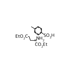 CCOC(=O)CC[C@H](N)C(=O)OCC.Cc1ccc(S(=O)(=O)O)cc1